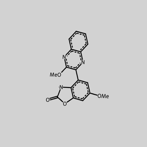 COc1cc2c(c(-c3nc4ccccc4nc3OC)c1)[N]C(=O)O2